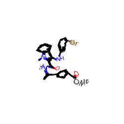 COC(=O)c1ccc(C(C)NC(=O)c2c(Nc3cccc(Br)c3)c3ccccc3n2C)cc1